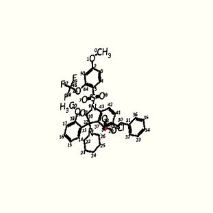 COc1ccc(S(=O)(=O)N2C(=O)C(c3ccccc3OC)(N3CCCC[C@H]3C(=O)OCc3ccccc3)c3cc(Cl)ccc32)c(OC(F)(F)F)c1